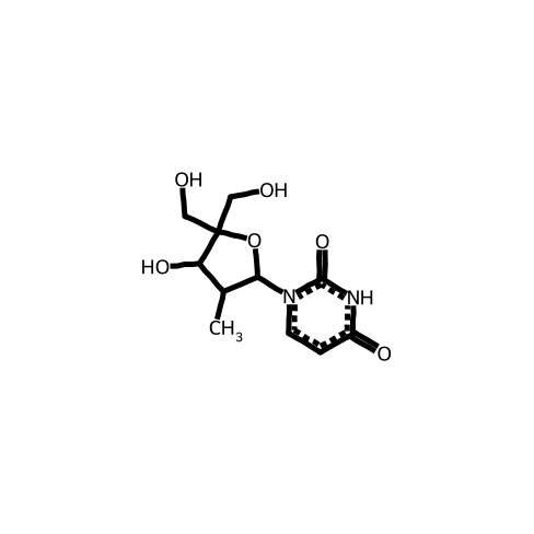 CC1C(n2ccc(=O)[nH]c2=O)OC(CO)(CO)C1O